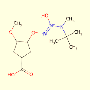 COC1CC(C(=O)O)CC1O/N=[N+](\O)N(C)C(C)(C)C